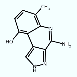 Cc1ccc(O)c2c1nc(N)c1n[nH]cc12